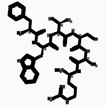 CC(C)C[C@H](NC(=O)[C@@H](NC(=O)[C@H](Cc1c[nH]c2ccccc12)NC(=O)[C@@H](N)Cc1ccccc1)[C@@H](C)O)C(=O)N[C@@H](C)C(=O)N[C@@H](CCCNC(=N)N)C(=O)O